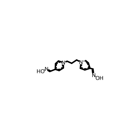 ON=Cc1cc[n+](CCC[n+]2ccc(C=NO)cc2)cc1